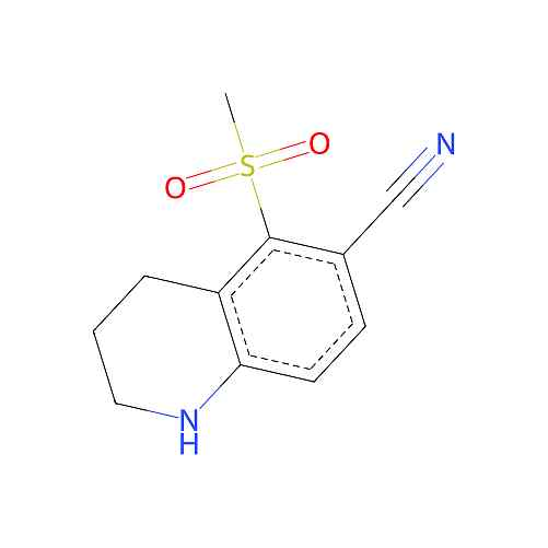 CS(=O)(=O)c1c(C#N)ccc2c1CCCN2